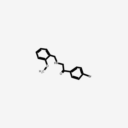 COc1ccccc1CNCC(=O)c1ccc(Br)cc1